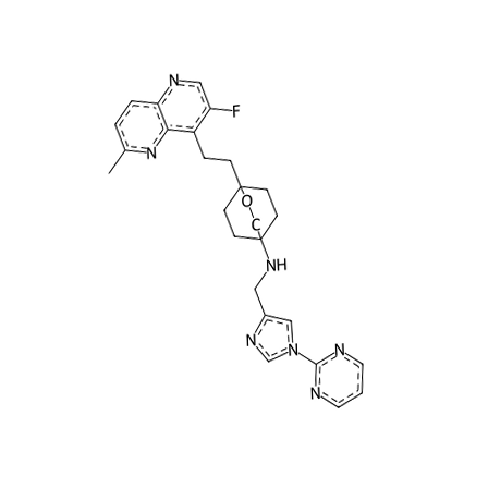 Cc1ccc2ncc(F)c(CCC34CCC(NCc5cn(-c6ncccn6)cn5)(CC3)CO4)c2n1